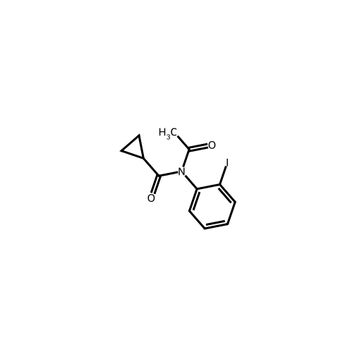 CC(=O)N(C(=O)C1CC1)c1ccccc1I